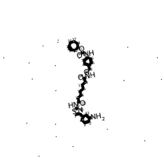 Nc1cccc(-c2csc(NC(=O)CCCCCCC(=O)NOCc3ccc(NC(=O)OC4CC#CCCC4)cc3)n2)c1